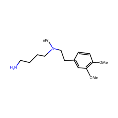 CCCN(CCCCN)CCc1ccc(OC)c(OC)c1